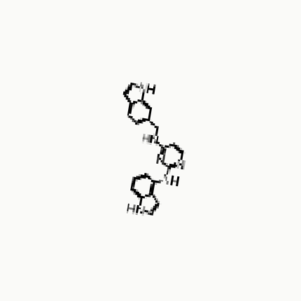 c1cc(Nc2nccc(NCc3ccc4cc[nH]c4c3)n2)c2cc[nH]c2c1